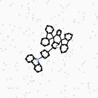 c1ccc2c(c1)-c1ccccc1C21c2ccccc2C2(c3ccccc3-c3ccccc32)c2cc(-c3ccc(-n4c5ccccc5c5ccccc54)cc3)ccc21